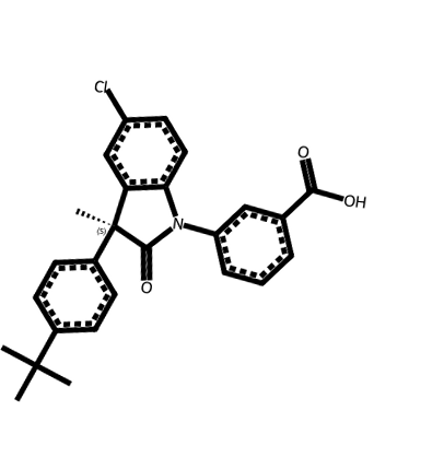 CC(C)(C)c1ccc([C@]2(C)C(=O)N(c3cccc(C(=O)O)c3)c3ccc(Cl)cc32)cc1